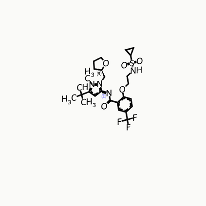 Cn1c(C(C)(C)C)c/c(=N\C(=O)c2cc(C(F)(F)F)ccc2OCCNS(=O)(=O)C2CC2)n1C[C@H]1CCCO1